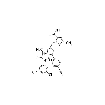 Cc1cc(C(=O)O)c(CN2CC(c3ccc(C#N)cc3)C3(C2)C(=O)N(c2cc(Cl)cc(Cl)c2)C(=O)N3C)s1